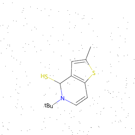 Cc1cc2c(s1)C=CN(C(C)(C)C)C2S